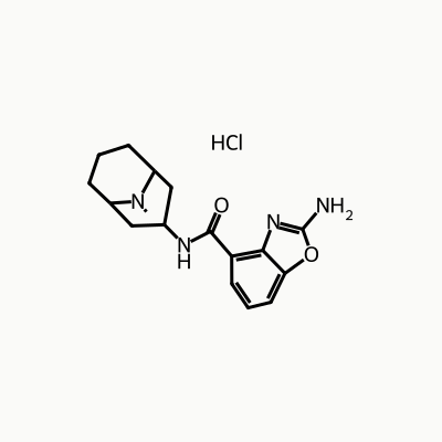 CN1C2CCCC1CC(NC(=O)c1cccc3oc(N)nc13)C2.Cl